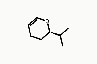 CC(C)[C@H]1CCC=CO1